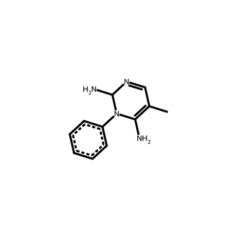 CC1=C(N)N(c2ccccc2)C(N)N=C1